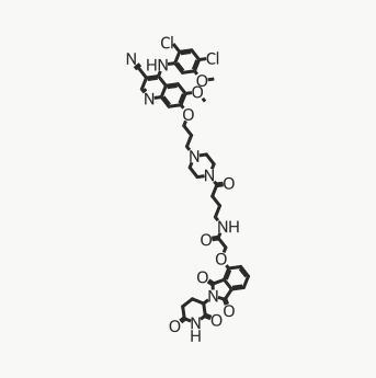 COc1cc(Nc2c(C#N)cnc3cc(OCCCN4CCN(C(=O)CCCNC(=O)COc5cccc6c5C(=O)N(C5CCC(=O)NC5=O)C6=O)CC4)c(OC)cc23)c(Cl)cc1Cl